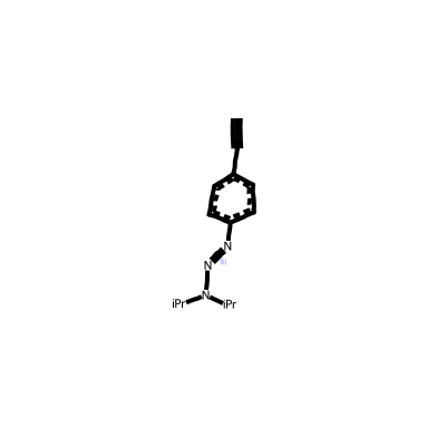 C#Cc1ccc(/N=N/N(C(C)C)C(C)C)cc1